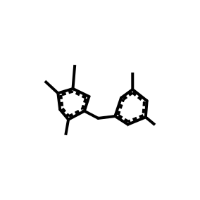 Cc1[c]c(Cc2cc(C)c(C)cc2C)cc(C)c1